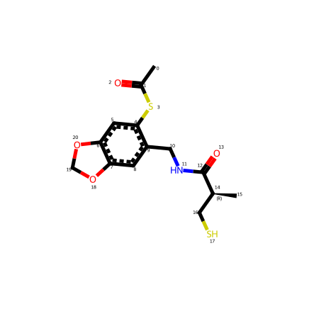 CC(=O)Sc1cc2c(cc1CNC(=O)[C@@H](C)CS)OCO2